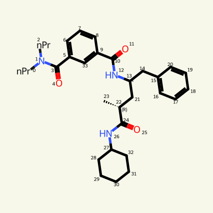 CCCN(CCC)C(=O)c1cccc(C(=O)N[C](Cc2ccccc2)C[C@@H](C)C(=O)NC2CCCCC2)c1